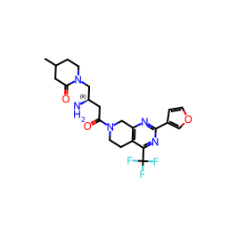 CC1CCN(C[C@H](N)CC(=O)N2CCc3c(nc(-c4ccoc4)nc3C(F)(F)F)C2)C(=O)C1